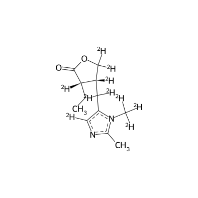 [2H]c1nc(C)n(C([2H])([2H])[2H])c1C([2H])([2H])[C@@]1([2H])C([2H])([2H])OC(=O)[C@@]1([2H])CC